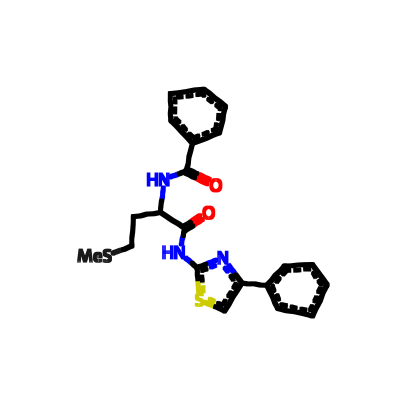 CSCCC(NC(=O)c1ccccc1)C(=O)Nc1nc(-c2ccccc2)cs1